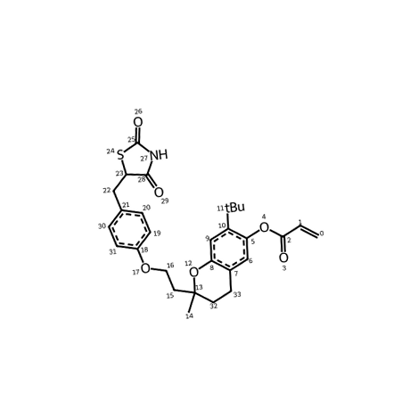 C=CC(=O)Oc1cc2c(cc1C(C)(C)C)OC(C)(CCOc1ccc(CC3SC(=O)NC3=O)cc1)CC2